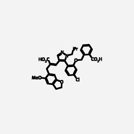 COc1cc2c(cc1CC(=Cc1cnn(CC(C)C)c1-c1ccc(Cl)cc1OCc1ccccc1C(=O)O)C(=O)O)OCC2